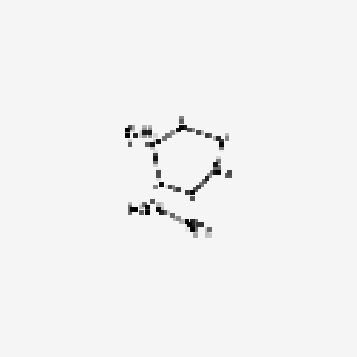 C1CCSCC1.NS(=O)(=O)O.[CaH2]